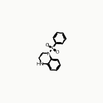 O=S(=O)(c1ccccc1)N1CCNc2ccccc21